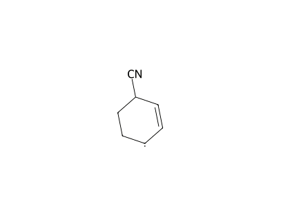 N#CC1C=C[CH]CC1